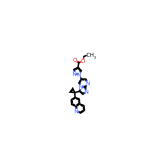 CCOC(=O)c1cnn(-c2cnc3ncc(C4(c5ccc6ncccc6c5)C=C4)n3c2)c1